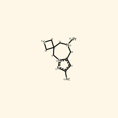 CC(=O)c1cc2n(n1)CC1(CSC1)CN(C(C)C)C2